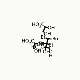 CCCCC(CC)C(CC)(CC)C(O)(CO)C(=O)O.O=C(O)C(O)CO.O=C(O)C(O)CO